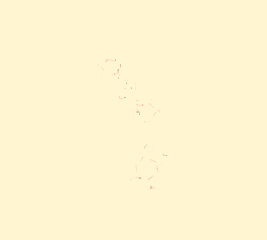 Cc1csc(NC(=O)c2ccc(COc3ccc(Cl)cc3Cl)o2)n1